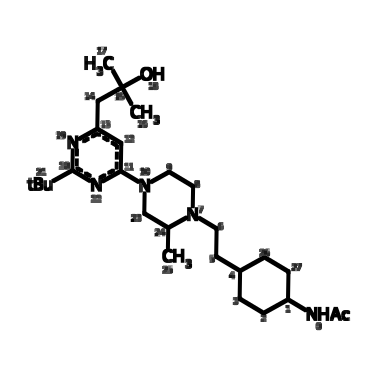 CC(=O)NC1CCC(CCN2CCN(c3cc(CC(C)(C)O)nc(C(C)(C)C)n3)CC2C)CC1